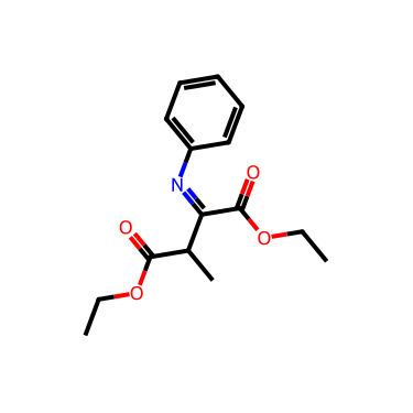 CCOC(=O)/C(=N\c1ccccc1)C(C)C(=O)OCC